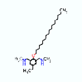 CCCCCCCCCCCCCCCCCCOc1c(CNC)cc(CC)cc1CNC